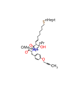 CC#CCOc1ccc(C[C@H](NC(=O)[C@@H](/C=C/CCCCCCSCCCCCCC)[C@@](O)(CCC)C(=O)O)C(=O)OC)cc1